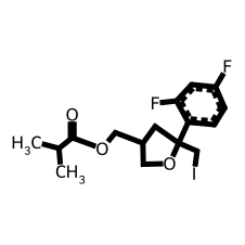 CC(C)C(=O)OCC1COC(CI)(c2ccc(F)cc2F)C1